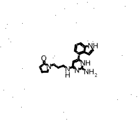 NC1N=C(NCCCN2CCCC2=O)C=C(c2cccc3[nH]ccc23)N1